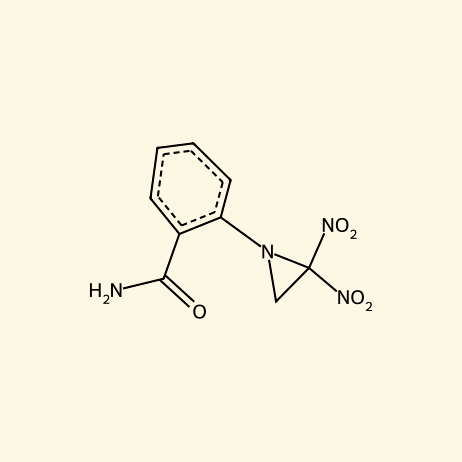 NC(=O)c1ccccc1N1CC1([N+](=O)[O-])[N+](=O)[O-]